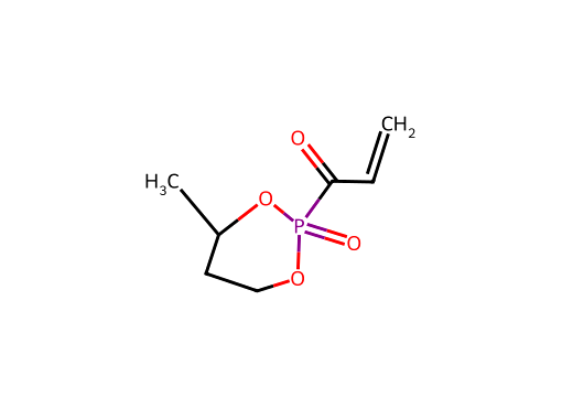 C=CC(=O)P1(=O)OCCC(C)O1